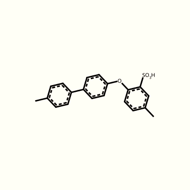 Cc1ccc(-c2ccc(Oc3ccc(C)cc3S(=O)(=O)O)cc2)cc1